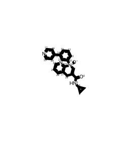 O=C(NC1CC1)C1=C[N+]([O-])(c2cccc(-c3ccncc3)c2)c2ncccc2C1